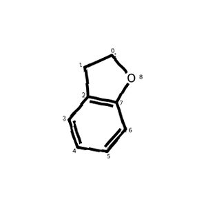 [C]1Cc2ccc[c]c2O1